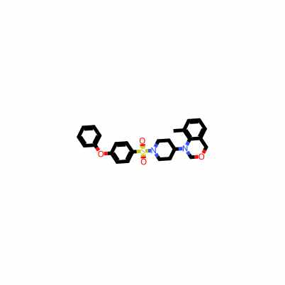 Cc1cccc2c1N(C1CCN(S(=O)(=O)c3ccc(Oc4ccccc4)cc3)CC1)COC2